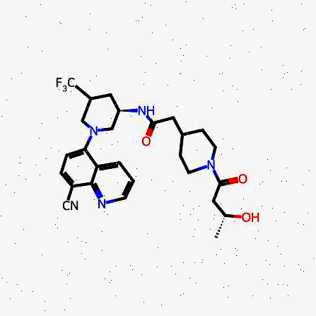 C[C@@H](O)CC(=O)N1CCC(CC(=O)N[C@@H]2CC(C(F)(F)F)CN(c3ccc(C#N)c4ncccc34)C2)CC1